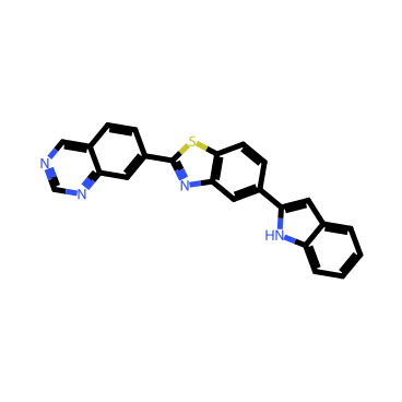 c1ccc2[nH]c(-c3ccc4sc(-c5ccc6cncnc6c5)nc4c3)cc2c1